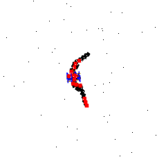 CCCCCCCCCc1ccc(-c2ccc(-c3c4c(c(-c5ccc(-c6ccc(CCCCCCCCC)cc6)s5)c5nsnc35)N=S=N4)s2)cc1